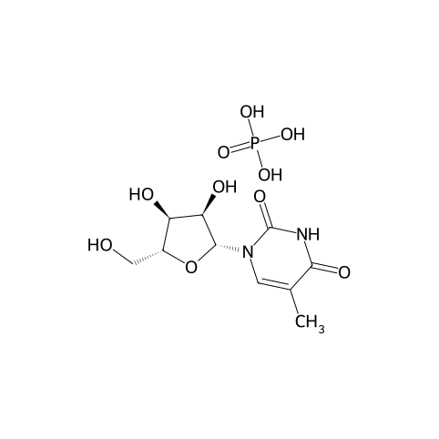 Cc1cn([C@@H]2O[C@H](CO)[C@@H](O)[C@H]2O)c(=O)[nH]c1=O.O=P(O)(O)O